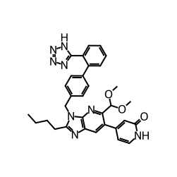 CCCCc1nc2cc(-c3cc[nH]c(=O)c3)c(C(OC)OC)nc2n1Cc1ccc(-c2ccccc2-c2nnn[nH]2)cc1